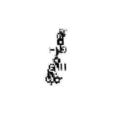 Cc1ccc(C(C)C)c(N2C(=O)CSC2=NC(=O)Nc2ccc(CCNC(=O)c3ccc(OC(F)(F)F)cc3)cc2)c1